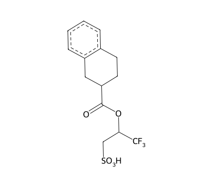 O=C(OC(CS(=O)(=O)O)C(F)(F)F)C1CCc2ccccc2C1